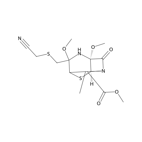 COC(=O)C1=C(C)C2S[C@@H]3N1C(=O)[C@]3(OC)NC2(CSCC#N)OC